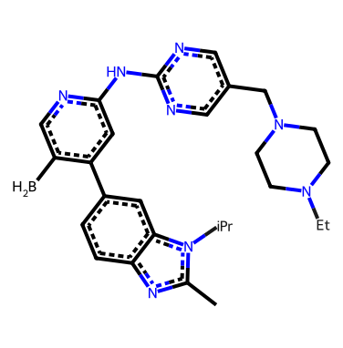 Bc1cnc(Nc2ncc(CN3CCN(CC)CC3)cn2)cc1-c1ccc2nc(C)n(C(C)C)c2c1